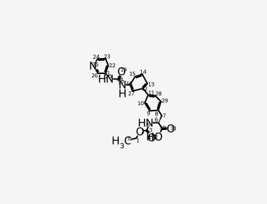 CCOC(=O)N[C@@H](Cc1ccc(-c2cccc(NC(=O)Nc3cccnc3)c2)cc1)C(=O)O